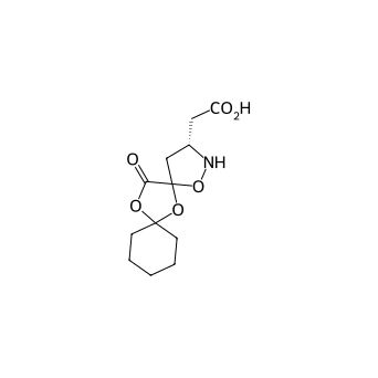 O=C(O)C[C@H]1CC2(ON1)OC1(CCCCC1)OC2=O